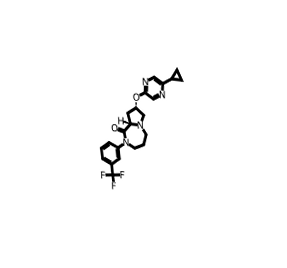 O=C1[C@@H]2C[C@H](Oc3cnc(C4CC4)cn3)CN2CCCN1c1cccc(C(F)(F)F)c1